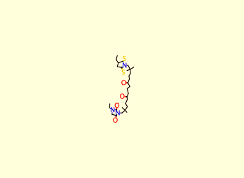 CCC1CC(=S)N(CC(C)(C)CCCC(=O)CCCC(=O)CCCC(C)(C)CN2C(=O)CN(CC)C2=O)C1=S